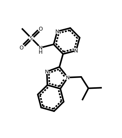 CC(C)Cn1c(-c2nccnc2NS(C)(=O)=O)nc2ccccc21